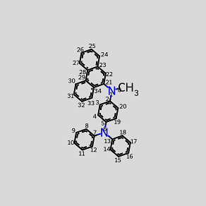 CN(c1ccc(N(c2ccccc2)c2ccccc2)cc1)c1cc2ccccc2c2ccccc12